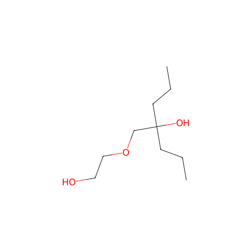 CCCC(O)(CCC)COCCO